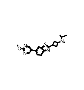 COc1ncc(-c2ccc3nc(C4CC(N(C)C(C)C)C4)sc3c2)cn1